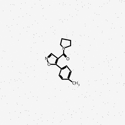 Cc1ccc(-c2oncc2C(=O)N2CCCC2)cc1